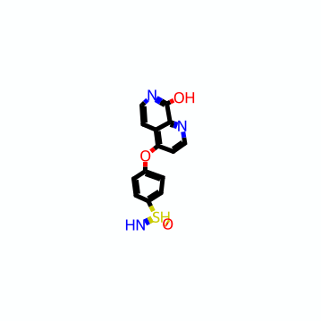 N=[SH](=O)c1ccc(Oc2ccnc3c(O)nccc23)cc1